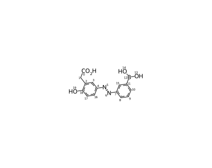 O=C(O)Cc1cc(/N=N/c2cccc(B(O)O)c2)ccc1O